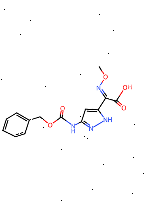 CON=C(C(=O)O)c1cc(NC(=O)OCc2ccccc2)n[nH]1